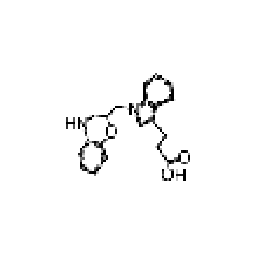 O=C(O)CCc1cn(CC2CNc3ccccc3O2)c2ccccc12